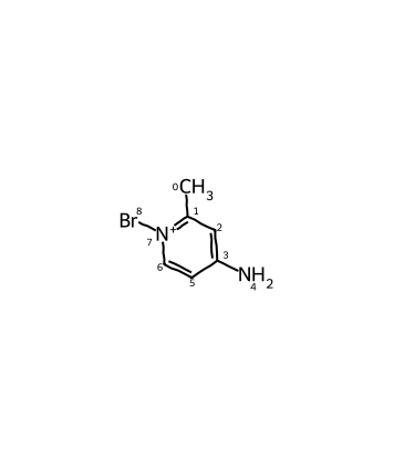 Cc1cc(N)cc[n+]1Br